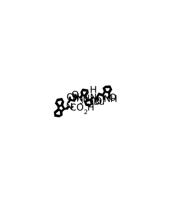 CCC(C)C1NC(=O)c2ccccc2C1=CC(=O)Nc1ccccc1-c1ccccc1NC(=O)CC(C)CN(CC1c2ccccc2-c2ccccc21)C(=O)O